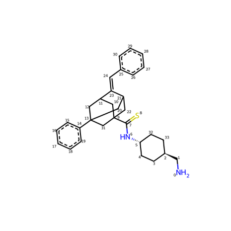 NC[C@H]1CC[C@H](NC(=S)C23CC4CC(c5ccccc5)(CC(C2)C4=Cc2ccccc2)C3)CC1